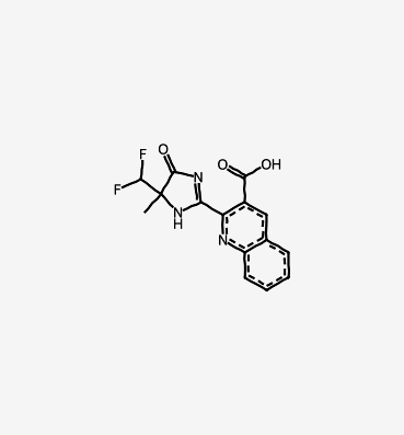 CC1(C(F)F)NC(c2nc3ccccc3cc2C(=O)O)=NC1=O